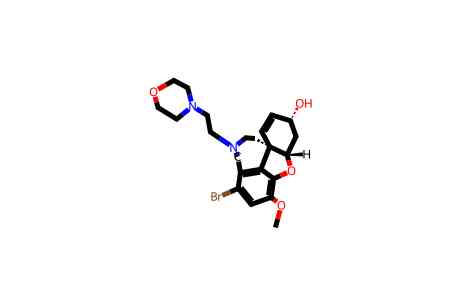 COc1cc(Br)c2c3c1O[C@H]1C[C@@H](O)C=C[C@]31CCN(CCN1CCOCC1)C2